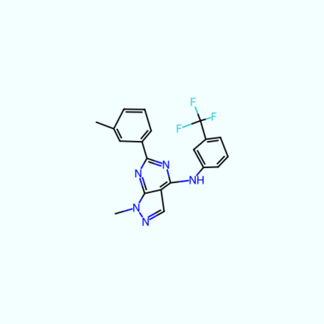 Cc1cccc(-c2nc(Nc3cccc(C(F)(F)F)c3)c3cnn(C)c3n2)c1